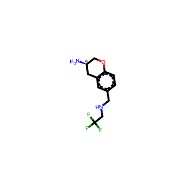 N[C@H]1COc2ccc(CNCC(F)(F)F)cc2C1